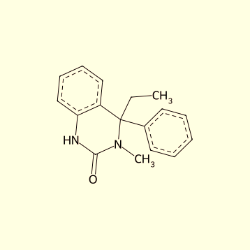 CCC1(c2ccccc2)c2ccccc2NC(=O)N1C